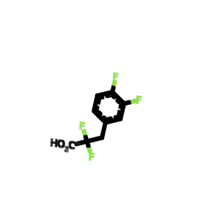 O=C(O)C(F)(F)Cc1ccc(F)c(F)c1